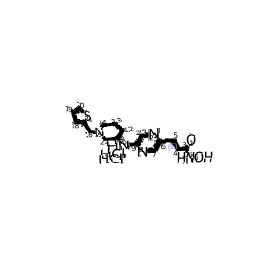 Cl.Cl.O=C(/C=C/c1cnc(N[C@@H]2CCCN(Cc3cccs3)C2)cn1)NO